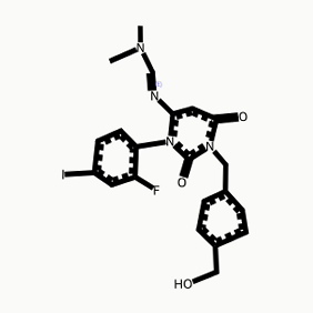 CN(C)/C=N/c1cc(=O)n(Cc2ccc(CO)cc2)c(=O)n1-c1ccc(I)cc1F